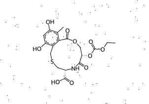 CCOC(=O)O[C@H]1COC(=O)c2c(C)c(O)cc(O)c2CSC[C@@H](C(=O)O)NC1=O